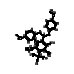 COc1ccc(CN(Cc2ccc(OC)cc2)c2c(F)c(N)c(C(F)(F)F)c(Br)c2F)cc1